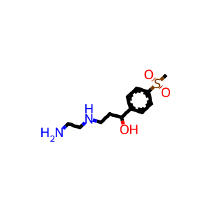 CS(=O)(=O)c1ccc(C(O)CCNCCN)cc1